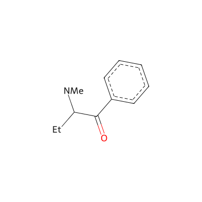 CCC(NC)C(=O)c1ccccc1